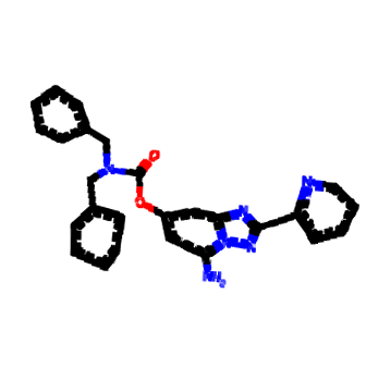 Nc1cc(OC(=O)N(Cc2ccccc2)Cc2ccccc2)cc2nc(-c3ccccn3)nn12